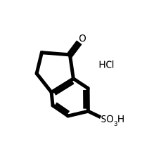 Cl.O=C1CCc2ccc(S(=O)(=O)O)cc21